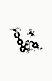 COc1ccc(Cn2nnc(-c3c(-c4ccc(C5CCN(C(=N)N)CC5)cc4)cccc3S(N)(=O)=O)n2)cc1.O=C(O)C(F)(F)F